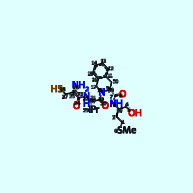 CSCC[C@H](CO)NC(=O)[C@H]1Cc2ccccc2CN1C(=O)[C@@H](NC(=O)[C@@H](N)CS)C(C)C